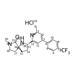 Cc1cc(-c2ccc(C(F)(F)F)cc2)cc([C@H]2CC[C@]3(CCN(C)C3=O)N2)n1.Cl